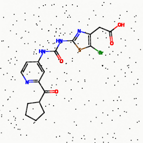 O=C(O)Cc1nc(NC(=O)Nc2ccnc(C(=O)C3CCCC3)c2)sc1Br